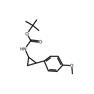 COc1ccc(C2CC2NC(=O)OC(C)(C)C)cc1